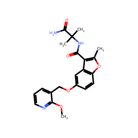 COc1ncccc1COc1ccc2oc(C)c(C(=O)NC(C)(C)C(N)=O)c2c1